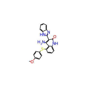 COc1ccc(Sc2cccc3[nH]c(=O)c(-c4nc5ccccc5[nH]4)c(N)c23)cc1